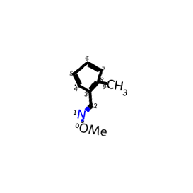 CON=Cc1[c]cccc1C